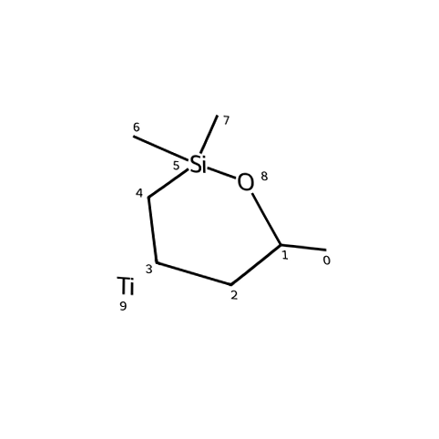 CC1CCC[Si](C)(C)O1.[Ti]